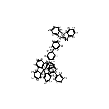 c1ccc(-c2ccc(N(c3ccc(-c4ccc(-n5c6ccccc6n6c7ccccc7nc56)cc4)cc3)c3cccc4c3C3(c5ccccc5-c5ccccc53)c3ccccc3-4)cc2)cc1